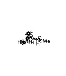 COC(=O)NCCCNC(=O)c1nc(Nc2cc(C)[nH]n2)ccc1-c1cc(F)ccc1C